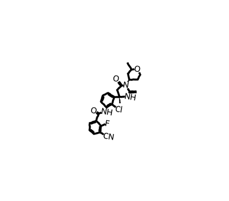 C=C1N[C@](C)(c2cccc(NC(=O)c3cccc(C#N)c3F)c2Cl)CC(=O)N1[C@@H]1CCOC(C)C1